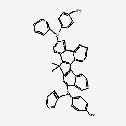 CC(C)c1ccc(N(c2ccccc2)c2ccc3c4c(c5ccccc5c3c2)-c2c(cc(N(c3ccccc3)c3ccc(C(C)C)cc3)c3ccccc23)C4(C)C)cc1